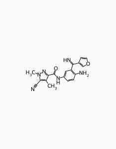 Cc1c(C(=O)Nc2ccc(N)c(C(=N)c3ccoc3)c2)nn(C)c1C#N